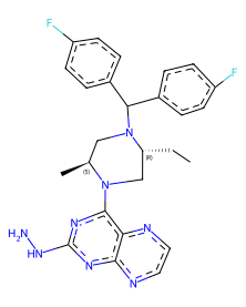 CC[C@@H]1CN(c2nc(NN)nc3nccnc23)[C@@H](C)CN1C(c1ccc(F)cc1)c1ccc(F)cc1